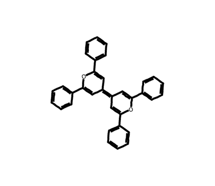 C1=C(c2ccccc2)OC(c2ccccc2)=CC1=C1C=C(c2ccccc2)OC(c2ccccc2)=C1